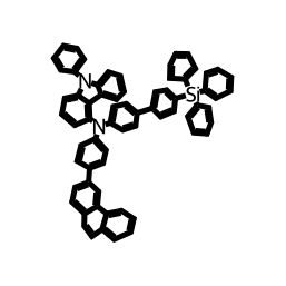 c1ccc(-n2c3ccccc3c3c(N(c4ccc(-c5ccc([Si](c6ccccc6)(c6ccccc6)c6ccccc6)cc5)cc4)c4ccc(-c5ccc6ccc7ccccc7c6c5)cc4)cccc32)cc1